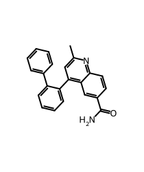 Cc1cc(-c2ccccc2-c2ccccc2)c2cc(C(N)=O)ccc2n1